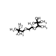 CC(OCCOCC(C)(C)C)C(C)(C)O